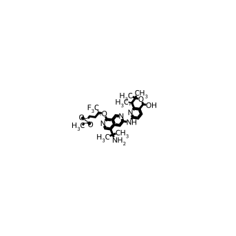 C[C@@H]1c2nc(Nc3cc4c(C(C)(C)N)cnc(O[C@H](CCS(C)(=O)=O)C(F)(F)F)c4cn3)ccc2C(O)OC1(C)C